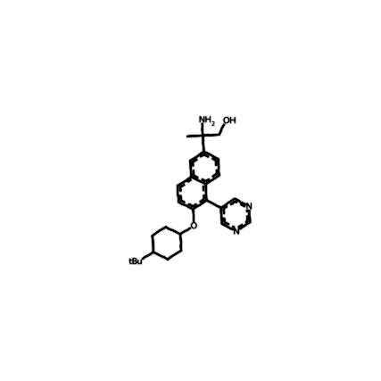 CC(N)(CO)c1ccc2c(-c3cncnc3)c(OC3CCC(C(C)(C)C)CC3)ccc2c1